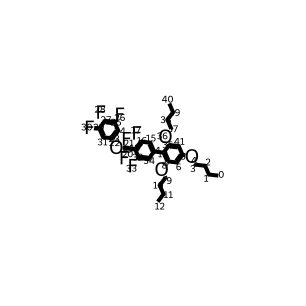 CCCCOc1cc(OCCCC)c(-c2cc(F)c(C(F)(F)Oc3cc(F)c(F)c(F)c3)c(F)c2)c(OCCCC)c1